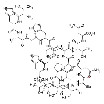 CC[C@H](C)[C@H](NC(=O)[C@H](CS)NC(=O)[C@H](CCC(N)=O)NC(=O)[C@@H]1CCCN1C(=O)[C@H](CC(C)C)NC(=O)[C@H](CO)NC(=O)[C@@H](NC(=O)[C@H](Cc1c[nH]cn1)NC(=O)CNC(=O)[C@H](C)NC(=O)[C@H](Cc1c[nH]cn1)NC(=O)CNC(=O)[C@H](C)NC(=O)[C@H](Cc1c[nH]cn1)NC(=O)[C@@H](N)[C@@H](C)O)[C@@H](C)O)C(=O)N[C@@H](CC(N)=O)C(=O)N1CCC[C@H]1C(=O)N[C@@H](Cc1ccccc1)C(=O)N[C@H](C(=O)N[C@@H](CC(N)=O)C(=O)O)[C@@H](C)O